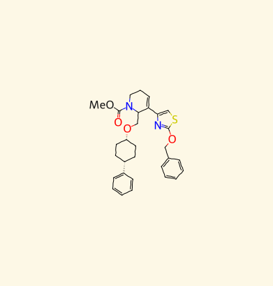 COC(=O)N1CCC=C(c2csc(OCc3ccccc3)n2)C1CO[C@H]1CC[C@@H](c2ccccc2)CC1